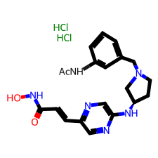 CC(=O)Nc1cccc(CN2CC[C@@H](Nc3cnc(C=CC(=O)NO)cn3)C2)c1.Cl.Cl